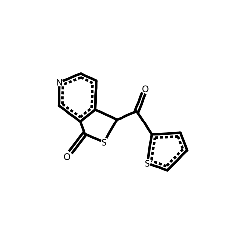 O=C1SC(C(=O)c2cccs2)c2ccncc21